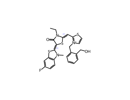 CCn1c(=O)/c(=C2\Sc3cc(F)ccc3N2C)s/c1=C\c1scc[n+]1Cc1ccccc1CO